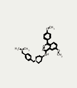 COc1ccc(-c2nnc(NC3CCN(Cc4ccc(CN(C)C)cc4)CC3)c3cc(OC)ccc23)cc1